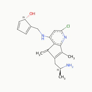 C=C1C(C[C@H](C)N)=C(C)c2nc(Cl)cc(NCC3=CC=C[C@@H]3O)c21